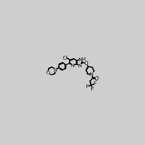 O=C(CC(F)(F)F)N1CCC(Oc2nc3nc(-c4ccc(N5CCOCC5)cc4)c(Cl)cc3[nH]2)CC1